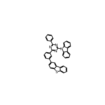 c1ccc(-c2nc(-c3cccc(-c4ccc5sc6ccccc6c5c4)c3)nc(-n3c4ccccc4c4ccccc43)n2)cc1